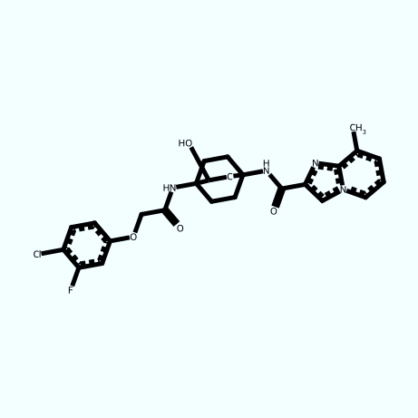 Cc1cccn2cc(C(=O)NC34CCC(NC(=O)COc5ccc(Cl)c(F)c5)(CC3)C(O)C4)nc12